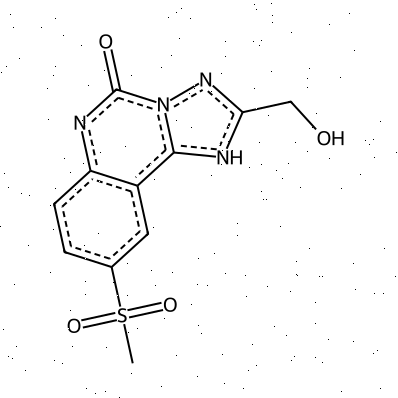 CS(=O)(=O)c1ccc2nc(=O)n3nc(CO)[nH]c3c2c1